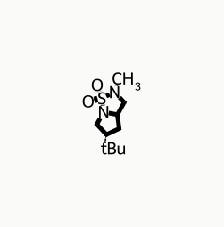 CN1CC2C[C@H](C(C)(C)C)CN2S1(=O)=O